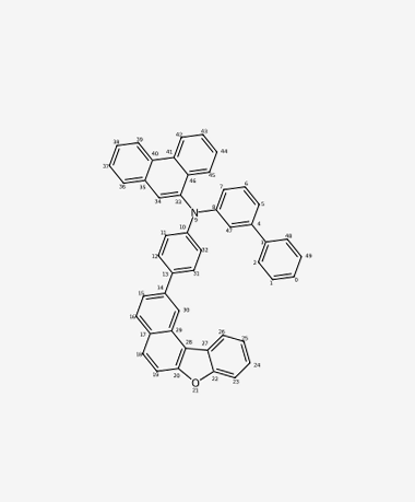 c1ccc(-c2cccc(N(c3ccc(-c4ccc5ccc6oc7ccccc7c6c5c4)cc3)c3cc4ccccc4c4ccccc34)c2)cc1